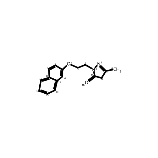 CC1=NN(CCOc2ccc3ccccc3c2)C(=O)C1